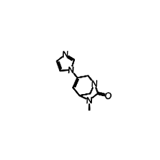 CN1C(=O)N2CC(n3ccnc3)=CC1C2